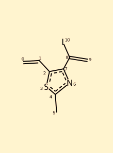 C=Cc1sc(C)nc1C(=C)I